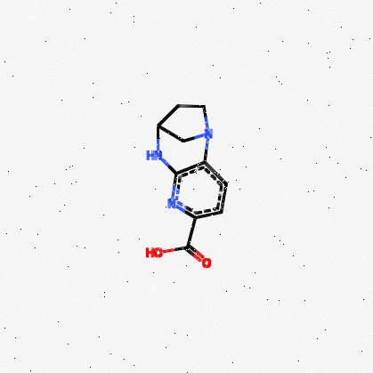 O=C(O)c1ccc2c(n1)NC1CCN2C1